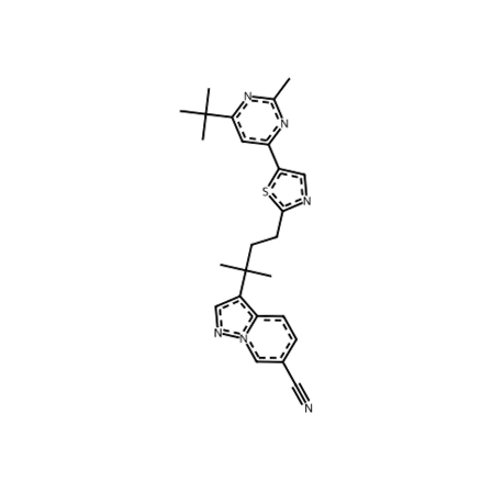 Cc1nc(-c2cnc(CCC(C)(C)c3cnn4cc(C#N)ccc34)s2)cc(C(C)(C)C)n1